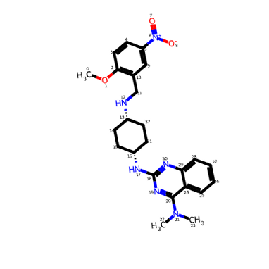 COc1ccc([N+](=O)[O-])cc1CN[C@H]1CC[C@@H](Nc2nc(N(C)C)c3ccccc3n2)CC1